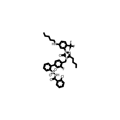 CCCCCNc1ccc(C(F)(F)F)c(-n2nc(CCCC)n(Cc3ccc(-c4ccccc4S(=O)(=O)NC(=O)c4ccccc4Cl)cc3F)c2=O)c1